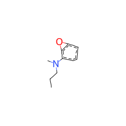 CCCN(C)c1cccc2c1O2